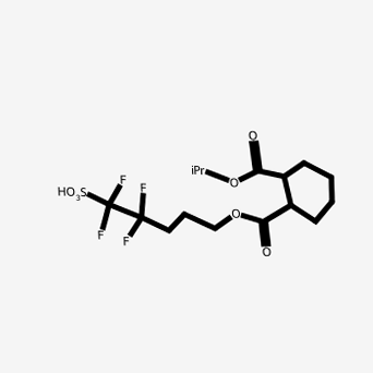 CC(C)OC(=O)C1CCCCC1C(=O)OCCCC(F)(F)C(F)(F)S(=O)(=O)O